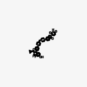 C[C@@H](C1CC1)[C@H]1CC(F)(F)c2cc(O)ccc2[C@H]1c1ccc(N2CCC(CN3CCN(c4ccc5c(c4)CN([C@H]4CCC(=O)NC4=O)C5=O)CC3)CC2)cc1